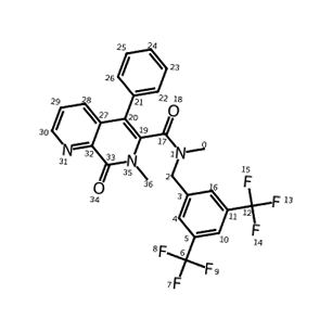 CN(Cc1cc(C(F)(F)F)cc(C(F)(F)F)c1)C(=O)c1c(-c2ccccc2)c2cccnc2c(=O)n1C